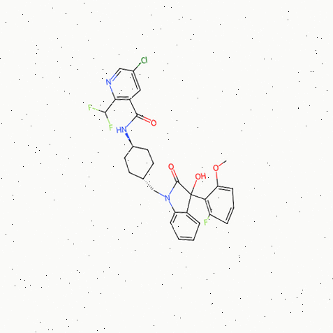 COc1cccc(F)c1C1(O)C(=O)N(C[C@H]2CC[C@H](NC(=O)c3cc(Cl)cnc3C(F)F)CC2)c2ccccc21